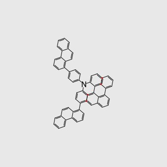 c1ccc(-c2cccc3cccc(-c4ccccc4N(c4ccc(-c5cccc6c5ccc5ccccc56)cc4)c4ccc(-c5cccc6c5ccc5ccccc56)cc4)c23)cc1